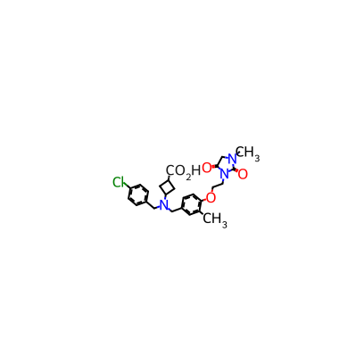 Cc1cc(CN(Cc2ccc(Cl)cc2)C2CC(C(=O)O)C2)ccc1OCCN1C(=O)CN(C)C1=O